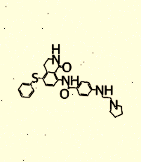 O=C(Nc1ccc(Sc2ccccc2)c2c1C(=O)NCC2)c1ccc(NCCN2CCCC2)cc1